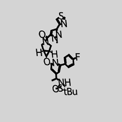 CC(N[S+]([O-])C(C)(C)C)c1cc(O[C@@H]2[C@@H]3CN(C(=O)c4cc(-c5cscn5)nn4C)C[C@@H]32)nc(-c2ccc(F)cc2)c1